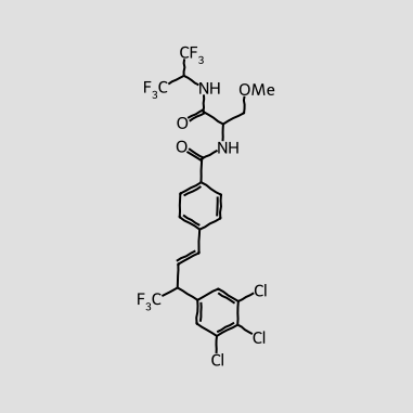 COCC(NC(=O)c1ccc(/C=C/C(c2cc(Cl)c(Cl)c(Cl)c2)C(F)(F)F)cc1)C(=O)NC(C(F)(F)F)C(F)(F)F